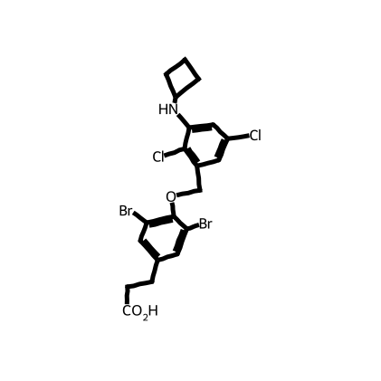 O=C(O)CCc1cc(Br)c(OCc2cc(Cl)cc(NC3CCC3)c2Cl)c(Br)c1